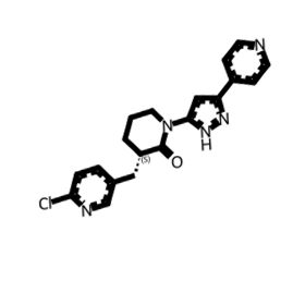 O=C1[C@H](Cc2ccc(Cl)nc2)CCCN1c1cc(-c2ccncc2)n[nH]1